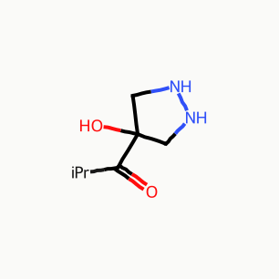 CC(C)C(=O)C1(O)CNNC1